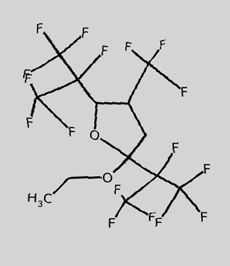 CCOC1(C(F)(C(F)(F)F)C(F)(F)F)CC(C(F)(F)F)C(C(F)(C(F)(F)F)C(F)(F)F)O1